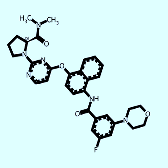 CN(C)C(=O)[C@@H]1CCCN1c1nccc(Oc2ccc(NC(=O)c3cc(F)cc(N4CCOCC4)c3)c3ccccc23)n1